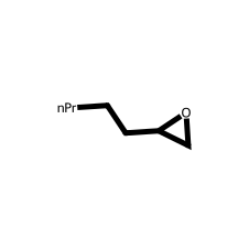 C[CH]CCCC1CO1